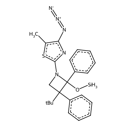 Cc1sc(N2CC(c3ccccc3)(C(C)(C)C)C2(O[SiH3])c2ccccc2)nc1N=[N+]=[N-]